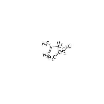 C=C.C=C(C)C.[C-]#[O+]